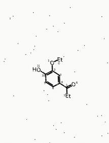 CCOc1cc(C(=O)CC)ccc1O